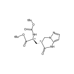 CC(C)(C)OC(=O)N[C@@H](C[C@@H]1Cn2nccc2NC1=O)C(=O)OC(C)(C)C